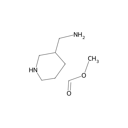 COC=O.NCC1CCCNC1